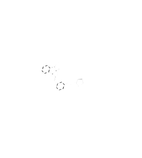 OC1c2ccccc2C(O)(CCc2cccc(OC[C@@H]3CCCO3)c2)C1(F)F